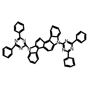 c1ccc(-c2nc(-c3ccccc3)nc(-n3c4ccccc4c4c5ccc6c(c5ccc43)c3ccccc3n6-c3nc(-c4ccccc4)nc(-c4ccccc4)n3)n2)cc1